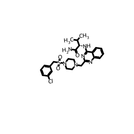 CC(C)[C@H](Nc1nc(CN2CCN(S(=O)(=O)Cc3cccc(Cl)c3)CC2)nc2ccccc12)C(N)=O